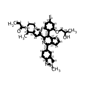 C=CC(=O)N1CCn2nc(-c3nc(-c4ccc5nn(C)cc5c4)c4ccsc4c3-c3c(F)cc(F)cc3OCC(C)O)cc2C1C